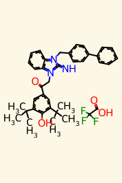 CC(C)(C)c1cc(C(=O)Cn2c(=N)n(Cc3ccc(-c4ccccc4)cc3)c3ccccc32)cc(C(C)(C)C)c1O.O=C(O)C(F)(F)F